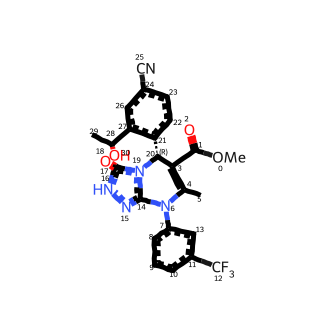 COC(=O)C1=C(C)N(c2cccc(C(F)(F)F)c2)c2n[nH]c(=O)n2[C@@H]1c1ccc(C#N)cc1C(C)O